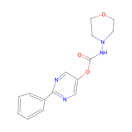 O=C(NN1CCOCC1)Oc1cnc(-c2ccccc2)nc1